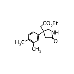 CCOC(=O)CC1(c2ccc(C)c(C)c2)CNC(=O)C1